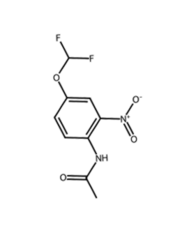 CC(=O)Nc1ccc(OC(F)F)cc1[N+](=O)[O-]